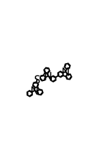 c1ccc(-n2c3ccccc3c3cc(Sc4ccc5c(c4)c4ccccc4n5-c4cccc(-c5ccc6c(c5)c5ccccc5n6-c5ccccc5)c4)ccc32)cc1